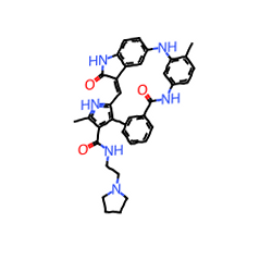 Cc1ccc(NC(=O)c2ccccc2)cc1Nc1ccc2c(c1)/C(=C/c1[nH]c(C)c(C(=O)NCCN3CCCC3)c1C)C(=O)N2